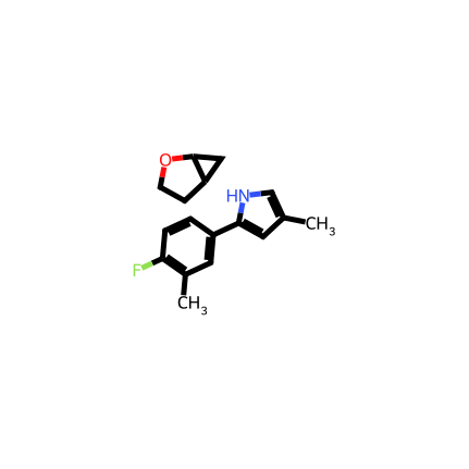 C1CC2CC2O1.Cc1c[nH]c(-c2ccc(F)c(C)c2)c1